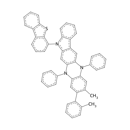 Cc1ccccc1-c1cc2c(cc1C)N(c1ccccc1)c1cc3c4ccccc4n(-c4cccc5c4sc4ccccc45)c3cc1N2c1ccccc1